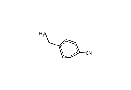 BCc1ccc(C#N)cc1